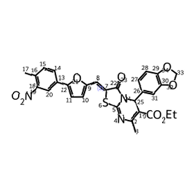 CCOC(=O)C1=C(C)N=c2s/c(=C\c3ccc(-c4ccc(C)c([N+](=O)[O-])c4)o3)c(=O)n2C1c1ccc2c(c1)OCO2